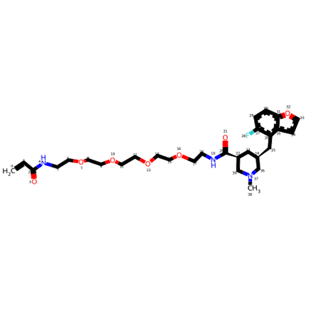 C=CC(=O)NCCOCCOCCOCCOCCNC(=O)[C@H]1C[C@@H](Cc2c(F)ccc3occc23)CN(C)C1